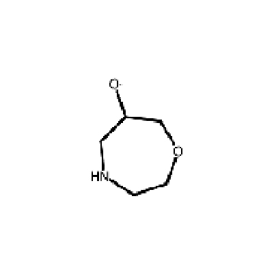 [O]C1CNCCOC1